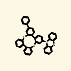 c1ccc(-c2ccc3c(c2)Oc2ccccc2-c2ccccc2Oc2cc(N4c5ccccc5Oc5ccccc54)ccc2-3)cc1